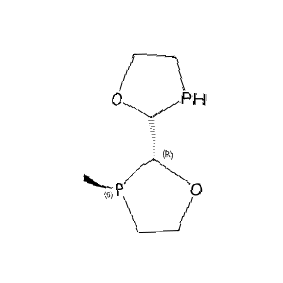 C[P@]1CCO[C@H]1C1OCCP1